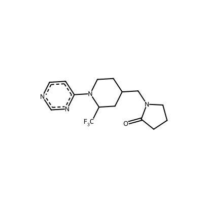 O=C1CCCN1CC1CCN(c2ccncn2)C(C(F)(F)F)C1